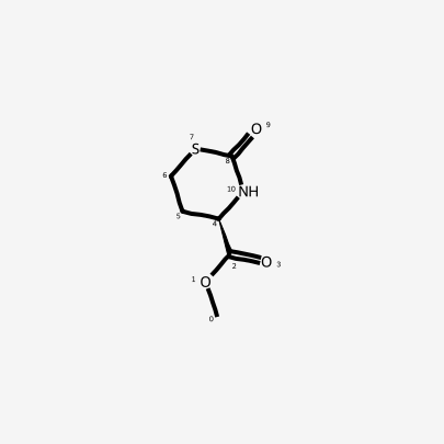 COC(=O)[C@H]1CCSC(=O)N1